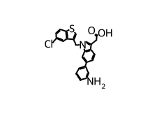 Nc1cccc(-c2ccc3c(CC(=O)O)cn(Cc4csc5ccc(Cl)cc45)c3c2)c1